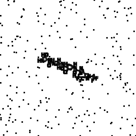 Cn1c(-c2cn(C3CC3(F)F)nc2C(F)(F)F)cnc1C(=O)Nc1ccc(C(=O)N[C@H]2[C@@H]3CN(C(=O)N[C@@H]4CNC[C@H]4O)C[C@@H]32)c(Cl)c1